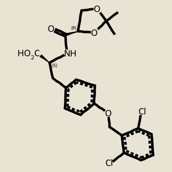 CC1(C)OC[C@H](C(=O)N[C@@H](Cc2ccc(OCc3c(Cl)cccc3Cl)cc2)C(=O)O)O1